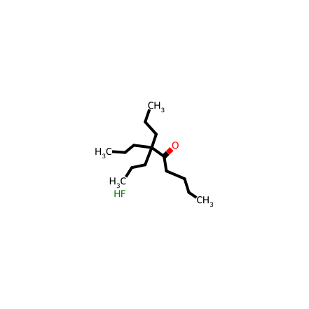 CCCCC(=O)C(CCC)(CCC)CCC.F